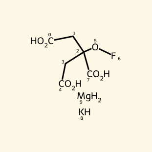 O=C(O)CC(CC(=O)O)(OF)C(=O)O.[KH].[MgH2]